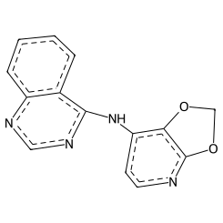 c1ccc2c(Nc3ccnc4c3OCO4)ncnc2c1